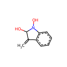 C=C1c2ccccc2N(O)C1O